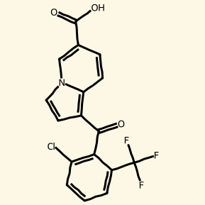 O=C(O)c1ccc2c(C(=O)c3c(Cl)cccc3C(F)(F)F)ccn2c1